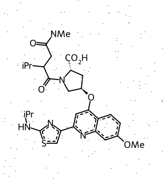 CNC(=O)CC(C(=O)N1C[C@H](Oc2cc(-c3csc(NC(C)C)n3)nc3cc(OC)ccc23)C[C@H]1C(=O)O)C(C)C